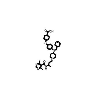 Cc1ncnc(C)c1C(=O)NC(C)CCN1CCC(N(Cc2ccccc2)c2ccc(Oc3ccc(C(=O)O)cc3)cc2)CC1